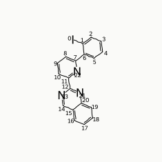 Ic1ccccc1-c1cccc(-c2ncc3ccccc3n2)n1